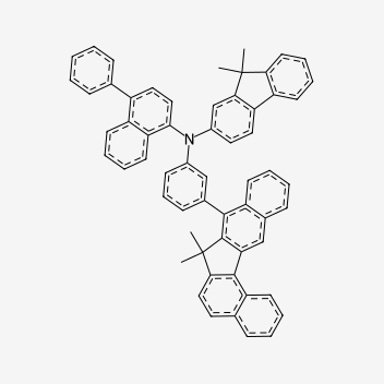 CC1(C)c2ccccc2-c2ccc(N(c3cccc(-c4c5c(cc6ccccc46)-c4c(ccc6ccccc46)C5(C)C)c3)c3ccc(-c4ccccc4)c4ccccc34)cc21